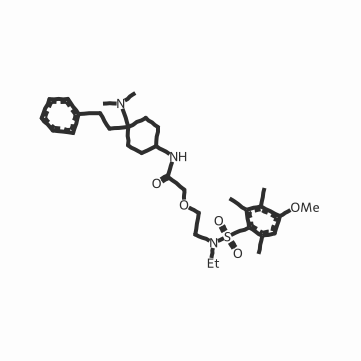 CCN(CCOCC(=O)NC1CCC(CCc2ccccc2)(N(C)C)CC1)S(=O)(=O)c1c(C)cc(OC)c(C)c1C